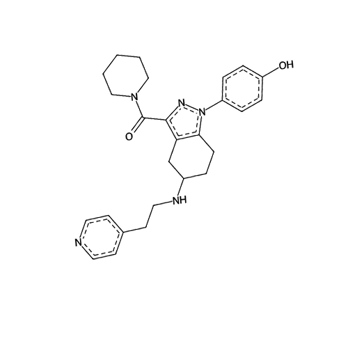 O=C(c1nn(-c2ccc(O)cc2)c2c1CC(NCCc1ccncc1)CC2)N1CCCCC1